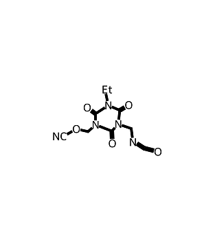 CCn1c(=O)n(CN=C=O)c(=O)n(COC#N)c1=O